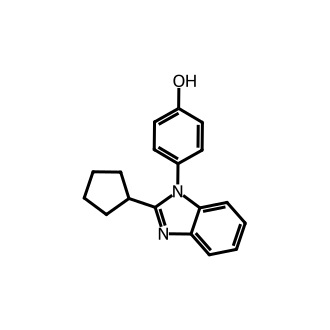 Oc1ccc(-n2c(C3CCCC3)nc3ccccc32)cc1